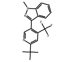 Cn1nc(-c2cnc(C(C)(C)C)cc2C(F)(F)F)c2ccccc21